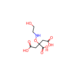 O=C(O)CC(CC(=O)O)(ONCCO)C(=O)O